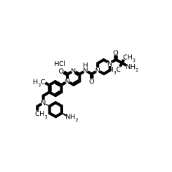 CCN(Cc1ccc(-n2ccc(NC(=O)N3CCN(C(=O)C(C)(C)N)CC3)nc2=O)cc1C)[C@H]1CC[C@H](N)CC1.Cl